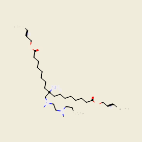 CCCCCC/C=C/COC(=O)CCCCCCCC(N)(CCCCCCCC(=O)OC/C=C/CCCCCC)CN(C)CCN(C)CCNC